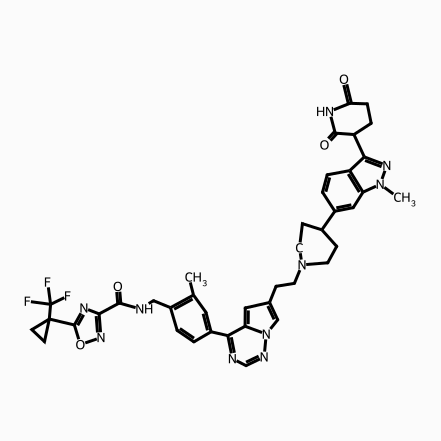 Cc1cc(-c2ncnn3cc(CCN4CCC(c5ccc6c(C7CCC(=O)NC7=O)nn(C)c6c5)CC4)cc23)ccc1CNC(=O)c1noc(C2(C(F)(F)F)CC2)n1